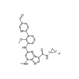 CNc1cc(Nc2cccc(-c3ccc(C=O)cn3)c2OC)nn2c(C(=O)N[C@@H]3C[C@@H]3F)cnc12